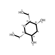 OC[C@@H]1O[C@H](CO)[C@H](O)CC1O